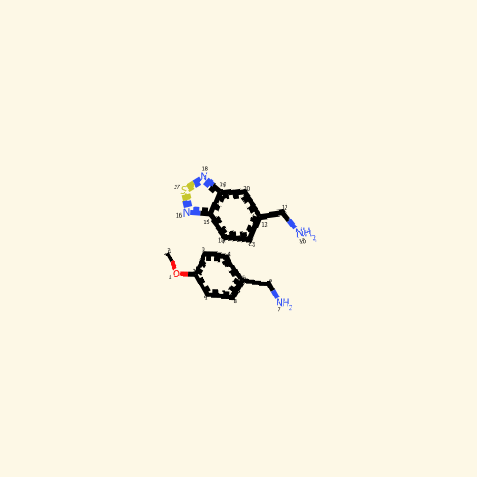 COc1ccc(CN)cc1.NCc1ccc2nsnc2c1